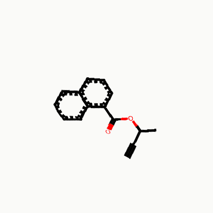 C#CC(C)OC(=O)c1cccc2ccccc12